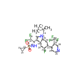 CC(C)(C)Cn1cc([C@H](NS(=O)(=O)C2CC2)C(F)F)c2cc(F)c(-c3ccncc3C(F)(F)F)cc21